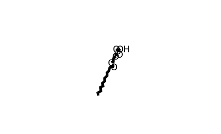 CCCCCCCCCCCCC(=O)OCCOCS(=O)(=O)O